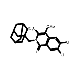 COc1c(C(=O)O)n(CC23CC4CC(CC(C4)C2)C3)c(=O)c2cc(Cl)c(Cl)cc12